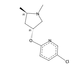 C[C@@H]1C[C@@H](Oc2ccc(Cl)cn2)CN1C